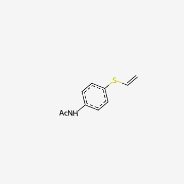 C=CSc1ccc(NC(C)=O)cc1